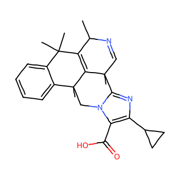 CC1N=CC2(C)C3=C1C(C)(C)c1ccccc1C3(C)Cn1c2nc(C2CC2)c1C(=O)O